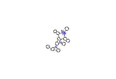 c1ccc(-c2ccc3c4ccccc4n(-c4ccc5c6cc7cc(c8cc9ccccc9cc8c8nc(-c9ccccc9)nc(n8)c8cc9ccccc9cc78)c6n(-c6ccccc6)c5c4)c3c2)cc1